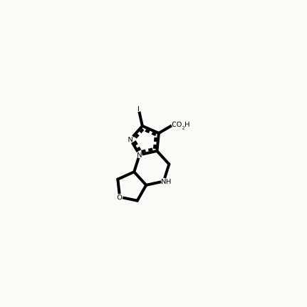 O=C(O)c1c(I)nn2c1CNC1COCC12